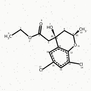 CCOC(=O)C[C@]1(O)C[C@@H](C)Oc2c(Cl)cc(Cl)cc21